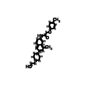 Cc1ccc(OCC(=O)Nc2ccc3nc(N4CCN(CCO)CC4)cc(C)c3c2)cc1